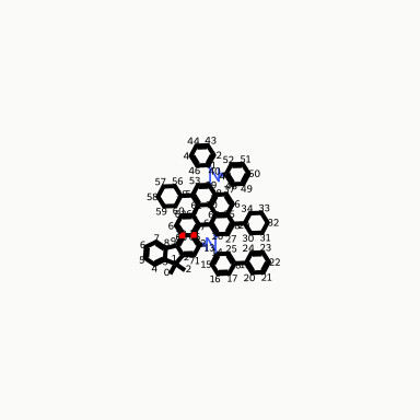 CC1(C)c2ccccc2-c2ccc(N(c3cccc(-c4ccccc4)c3)c3cc(C4CCCCC4)c4ccc5c(N(c6ccccc6)c6ccccc6)cc(C6CCCCC6)c6c7ccccc7c3c4c56)cc21